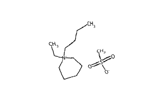 CCCC[N+]1(CC)CCCCC1.CS(=O)(=O)[O-]